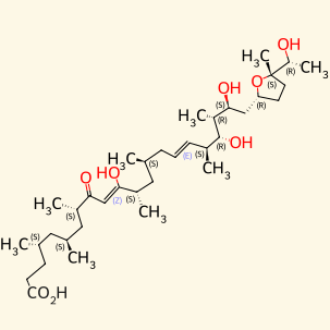 C[C@@H](CCC(=O)O)C[C@H](C)C[C@H](C)C(=O)/C=C(\O)[C@@H](C)C[C@@H](C)C/C=C/[C@H](C)[C@@H](O)[C@H](C)[C@@H](O)C[C@H]1CC[C@@](C)([C@@H](C)O)O1